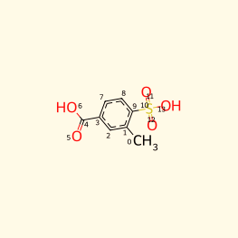 Cc1cc(C(=O)O)ccc1S(=O)(=O)O